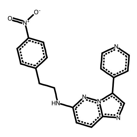 O=[N+]([O-])c1ccc(CCNc2ccc3ncc(-c4ccncc4)n3n2)cc1